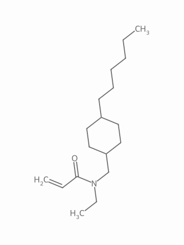 C=CC(=O)N(CC)CC1CCC(CCCCCC)CC1